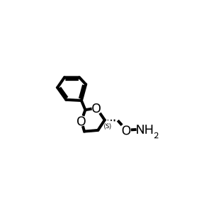 NOC[C@@H]1CCOC(c2ccccc2)O1